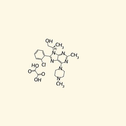 Cc1nc(N2CCN(C)CC2)c2nc(-c3ccccc3Cl)n([C@H](C)CO)c2n1.O=C(O)C(=O)O